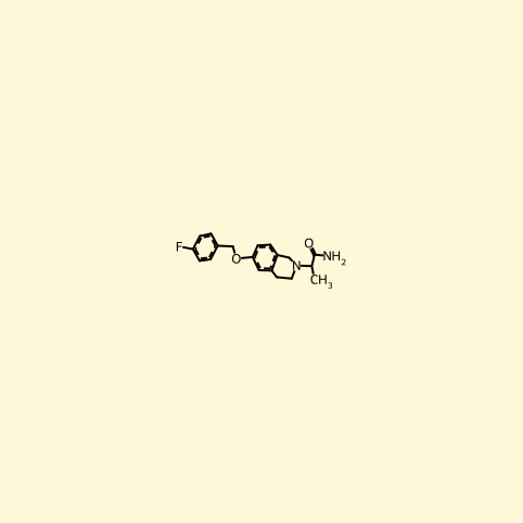 CC(C(N)=O)N1CCc2cc(OCc3ccc(F)cc3)ccc2C1